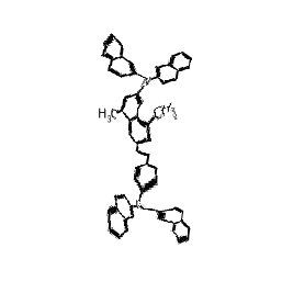 Cc1cc(N(c2ccc3ccccc3c2)c2ccc3ccccc3c2)cc2c(C)cc(/C=C/c3ccc(N(c4ccc5ccccc5c4)c4ccc5ccccc5c4)cc3)cc12